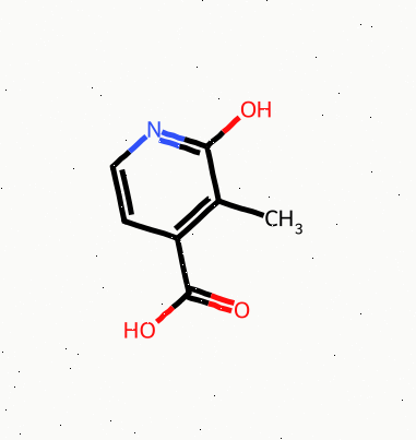 Cc1c(C(=O)O)ccnc1O